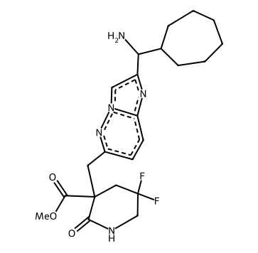 COC(=O)C1(Cc2ccc3nc(C(N)C4CCCCCC4)cn3n2)CC(F)(F)CNC1=O